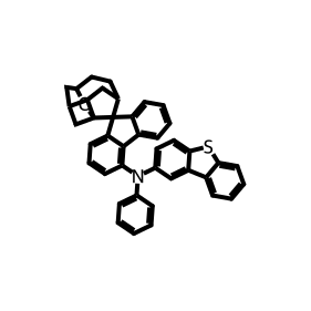 c1ccc(N(c2ccc3sc4ccccc4c3c2)c2cccc3c2-c2ccccc2C32C3CCC4CC5CC2(C4)C5C3)cc1